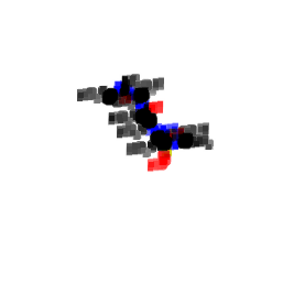 [C-]#[N+]c1nn(-c2cc(S(=O)(=O)O)ccc2C(=O)O)c(O)c1/N=N/c1cc(N=Nc2c(S(=O)(=O)O)cc3c(S(=O)(=O)O)c(N=Nc4cc(S(=O)(=O)O)c5cc(SOOO)c(N=Nc6ccc([N+](=O)[O-])cc6C(=O)O)c(O)c5c4N)ccc3c2O)ccc1S(=O)(=O)O